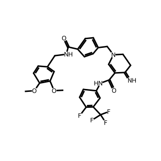 COc1ccc(CNC(=O)c2ccc(CN3C=C(C(=O)Nc4ccc(F)c(C(F)(F)F)c4)C(=N)CC3)cc2)cc1OC